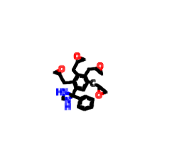 c1ccc(C2(c3cc(CC4CO4)c(CC4CO4)c(CC4CO4)c3CC3CO3)NCN2)cc1